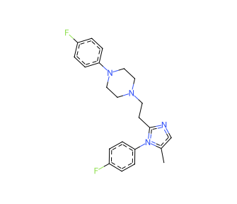 Cc1cnc(CCN2CCN(c3ccc(F)cc3)CC2)n1-c1ccc(F)cc1